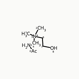 CC(N)=O.C[N+](C)(C)CCO